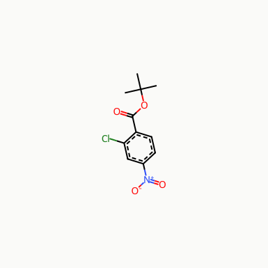 CC(C)(C)OC(=O)c1ccc([N+](=O)[O-])cc1Cl